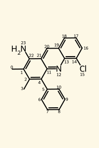 Cc1c(C)c(-c2ccccc2)c2nc3c(Cl)cccc3cc2c1N